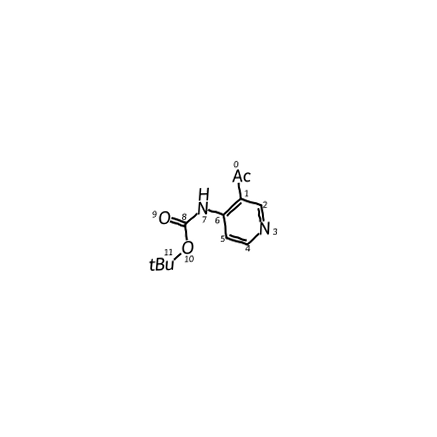 CC(=O)c1cnccc1NC(=O)OC(C)(C)C